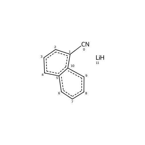 N#Cc1cccc2ccccc12.[LiH]